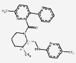 Cc1ccc(-c2ccccn2)c(C(=O)N2CCC[C@@H](C)[C@H]2CNc2ccc(C(F)(F)F)cn2)n1